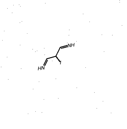 N=CC(I)C=N